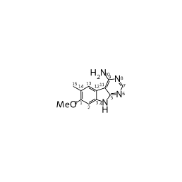 COc1cc2[nH]c3ncnc(N)c3c2cc1C